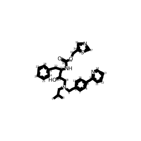 CC(C)CN(Cc1ccc(-c2ccccn2)cc1)CC(O)C(Cc1ccccc1)NC(=O)OCc1cncs1